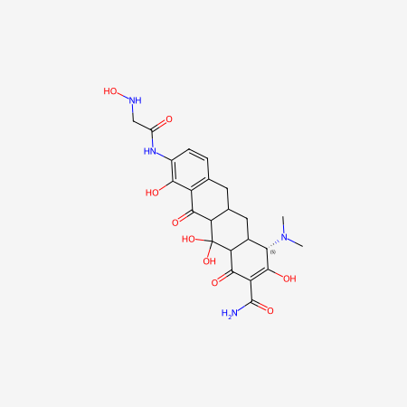 CN(C)[C@@H]1C(O)=C(C(N)=O)C(=O)C2C1CC1Cc3ccc(NC(=O)CNO)c(O)c3C(=O)C1C2(O)O